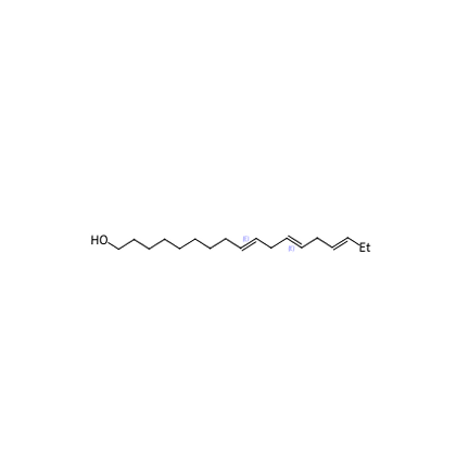 CCC=CC/C=C/C/C=C/CCCCCCCCO